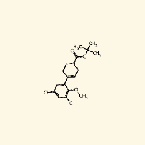 COc1c(Cl)cc(Cl)cc1C1=CCN(C(=O)OC(C)(C)C)CC1